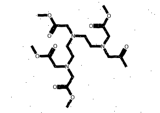 COC(=O)CN(CCN(CC(C)=O)CC(=O)OC)CCN(CC(=O)OC)CC(=O)OC